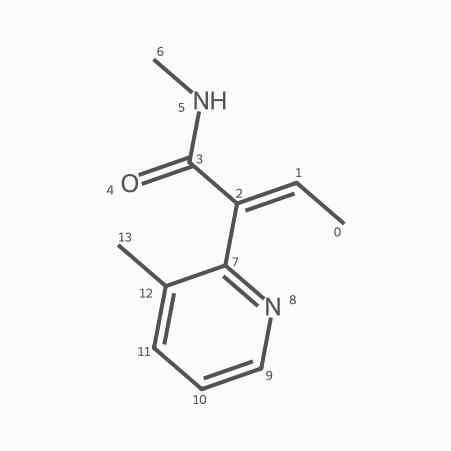 C/C=C(/C(=O)NC)c1ncccc1C